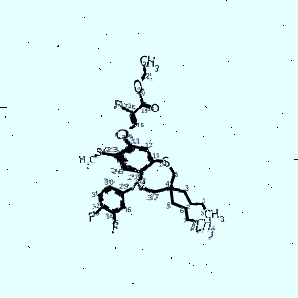 CCCCC1(CCCC)CSc2cc(O/C=C(\F)C(=O)OCC)c(SC)cc2N(c2ccc(F)c(F)c2)C1